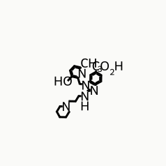 Cc1ccc(O)c(Cn2c(NCCCN3CCCCC3)nc3ccc(C(=O)O)cc32)n1